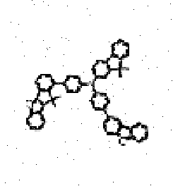 CC1(C)c2ccccc2-c2ccc(N(c3ccc(-c4ccc5oc6ccccc6c5c4)cc3)c3ccc(-c4cccc5c4C(C)(C)c4c-5oc5ccccc45)cc3)cc21